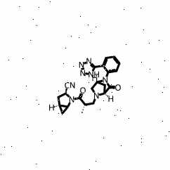 C[C@@H](CN1C[C@@H]2C[C@H]1C(=O)N2c1ccccc1-c1nnn[nH]1)C(=O)N1C2C[C@H]2C[C@H]1C#N